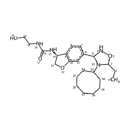 CCC1ONC(c2ccc3c(c2)OC[C@H]3NC(=O)NCCO)N1C1CCCCCCC1